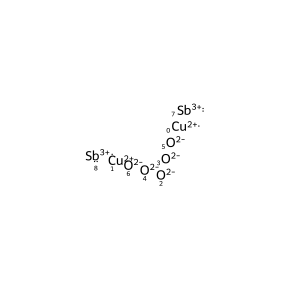 [Cu+2].[Cu+2].[O-2].[O-2].[O-2].[O-2].[O-2].[Sb+3].[Sb+3]